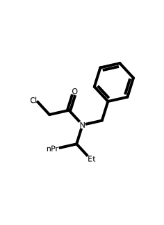 CCCC(CC)N(Cc1ccccc1)C(=O)CCl